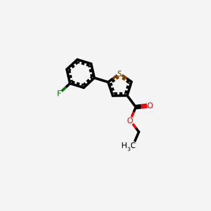 CCOC(=O)c1csc(-c2cccc(F)c2)c1